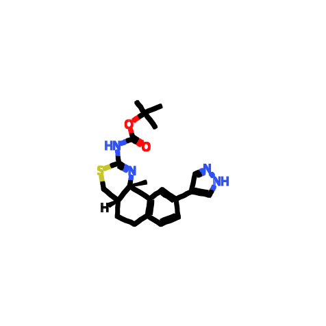 CC(C)(C)OC(=O)NC1=N[C@]2(C)c3cc(-c4cn[nH]c4)ccc3CC[C@@H]2CS1